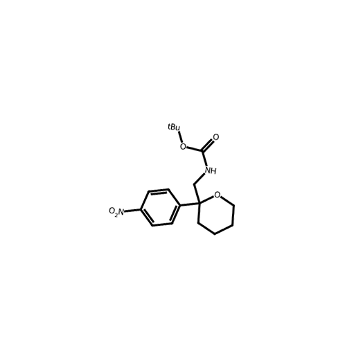 CC(C)(C)OC(=O)NCC1(c2ccc([N+](=O)[O-])cc2)CCCCO1